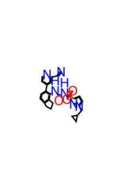 N#Cc1cc(-c2ccc3c(c2NC(=O)NS(=O)(=O)c2ccn(CC4CC4)n2)CCC3)ccn1